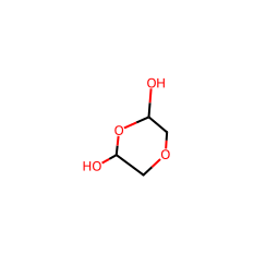 OC1COCC(O)O1